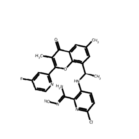 Cc1cc([C@@H](C)Nc2ccc(Cl)nc2/C(N)=N/O)c2oc(-c3cc(F)ccn3)c(C)c(=O)c2c1